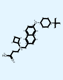 CC(C)(C)[C@H]1CC[C@H](Oc2ccc3cc(CN(CCC(=O)O)C4CCC4)ccc3c2)CC1